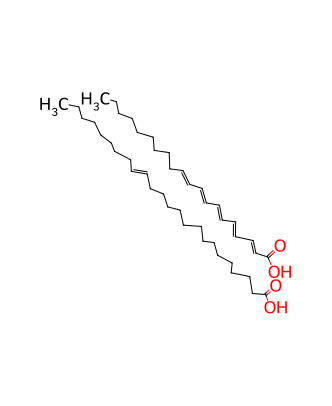 CCCCCCCCC=CCCCCCCCCCCCCCC(=O)O.CCCCCCCCCC=CC=CC=CC=CC=CC(=O)O